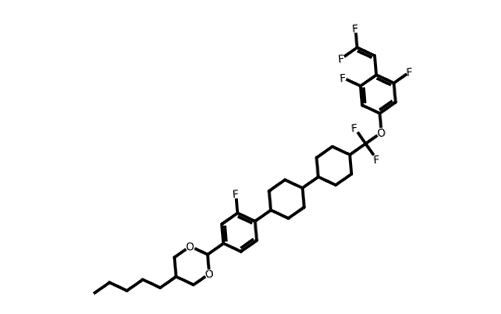 CCCCCC1COC(c2ccc(C3CCC(C4CCC(C(F)(F)Oc5cc(F)c(C=C(F)F)c(F)c5)CC4)CC3)c(F)c2)OC1